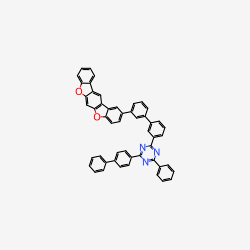 c1ccc(-c2ccc(-c3nc(-c4ccccc4)nc(-c4cccc(-c5cccc(-c6ccc7oc8cc9oc%10ccccc%10c9cc8c7c6)c5)c4)n3)cc2)cc1